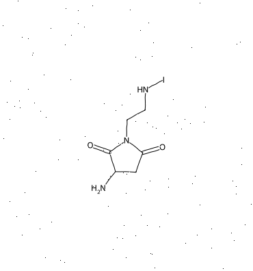 NC1CC(=O)N(CCNI)C1=O